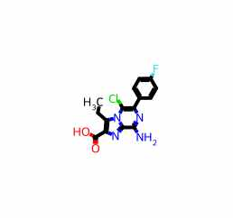 CCc1c(C(=O)O)nc2c(N)nc(-c3ccc(F)cc3)c(Cl)n12